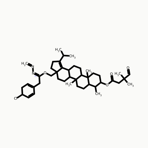 C=N/N=C(/CC1=CCC(Cl)C=C1)OCC12CCC(C(C)C)=C1C1CCC3C(C)(CCC4C(C)C(OC(=O)CC(C)(C)C=O)CCC43C)C1CC2